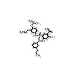 C=CCc1cccc(CNc2cc(O)c(C(N)=O)cc2S(=O)(=O)Nc2ccc(OC(C)C)c(CC=C)c2)c1